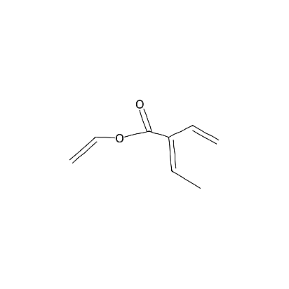 C=COC(=O)C(C=C)=CC